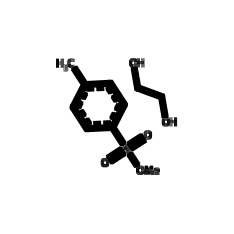 COS(=O)(=O)c1ccc(C)cc1.OCCO